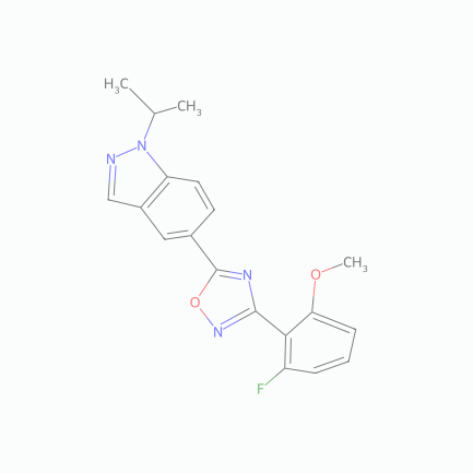 COc1cccc(F)c1-c1noc(-c2ccc3c(cnn3C(C)C)c2)n1